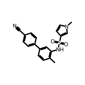 Cc1ccc(-c2ccc(C#N)cc2)cc1NS(=O)(=O)c1ccn(C)c1